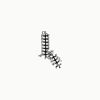 C[N+](C)(C)C(F)(F)C(F)(F)C(F)(F)NS(=O)(=O)C(F)(F)C(F)(F)C(F)(F)C(F)(F)C(F)(F)C(F)(F)C(F)(F)C(F)(F)F.[I-]